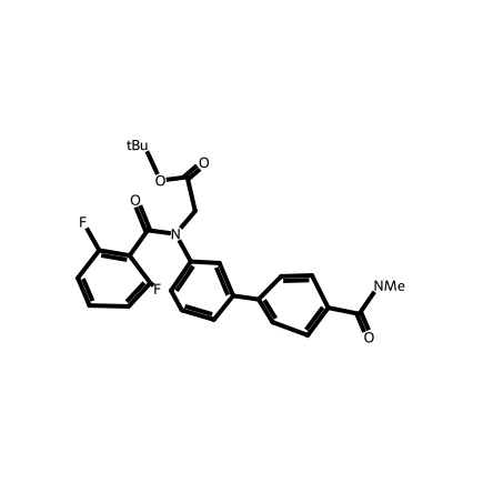 CNC(=O)c1ccc(-c2cccc(N(CC(=O)OC(C)(C)C)C(=O)c3c(F)cccc3F)c2)cc1